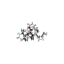 CC(=O)[C@H]1CCN1c1nc2ccccc2n([C@H]2C[C@H]3CCC[C@@H](C2)N3[C@@H]2C[C@@H]3CCCC[C@@H](C3)C2)c1=O